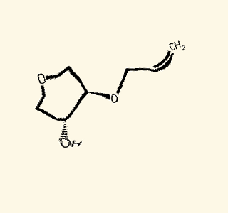 C=CCO[C@@H]1COC[C@H]1O